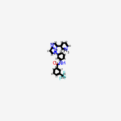 Cc1ccc(NC(=O)c2cccc(C(F)(F)F)c2)cc1-n1ccc2ncc(-c3cccnc3)n21